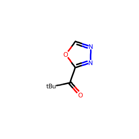 CC(C)(C)C(=O)c1nnco1